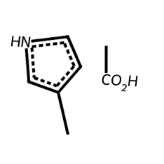 CC(=O)O.Cc1cc[nH]c1